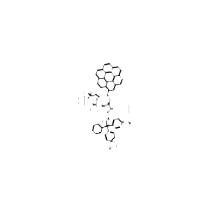 COc1ccc(C(OC[C@@H]2O[C@H](n3ccc(=O)[nH]c3=O)C(OCc3cc4ccc5ccc6ccc7ccc8ccc3c3c8c7c6c5c43)C2O)(c2ccccc2)c2ccc(OC)cc2)cc1